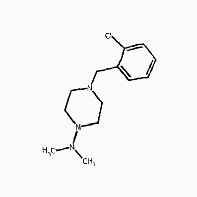 CN(C)N1CCN(Cc2ccccc2Cl)CC1